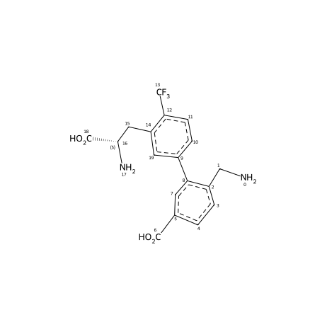 NCc1ccc(C(=O)O)cc1-c1ccc(C(F)(F)F)c(C[C@H](N)C(=O)O)c1